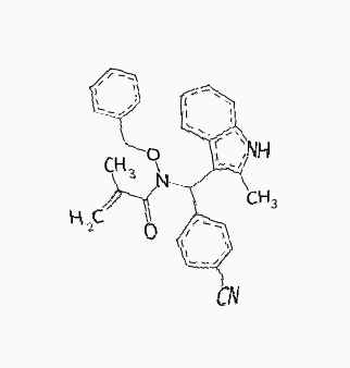 C=C(C)C(=O)N(OCc1ccccc1)C(c1ccc(C#N)cc1)c1c(C)[nH]c2ccccc12